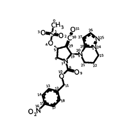 CS(=O)(=O)O[C@H]1CN(C(=O)OCc2ccc([N+](=O)[O-])cc2)[C@H](N2CCCn3nccc32)C1=C=O